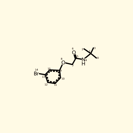 CC(C)(C)NC(=O)COc1cccc(Br)c1